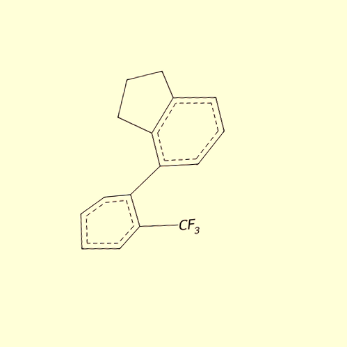 FC(F)(F)c1ccccc1-c1cccc2c1CCC2